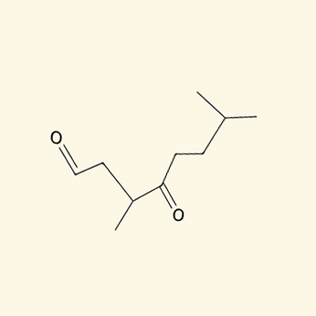 CC(C)CCC(=O)C(C)CC=O